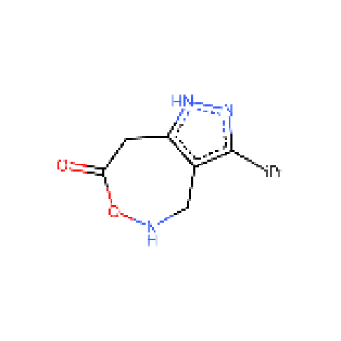 CC(C)c1n[nH]c2c1CNOC(=O)C2